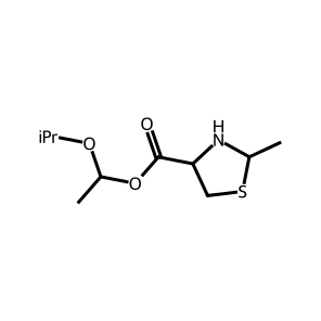 CC(C)OC(C)OC(=O)C1CSC(C)N1